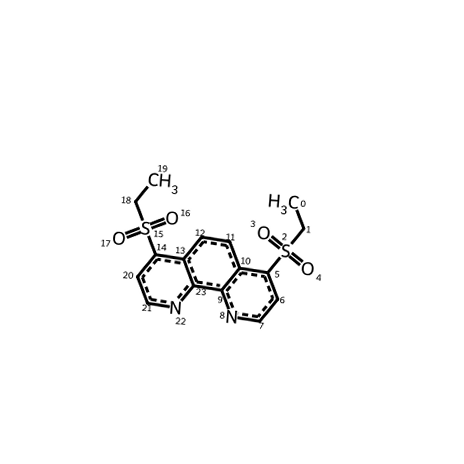 CCS(=O)(=O)c1ccnc2c1ccc1c(S(=O)(=O)CC)ccnc12